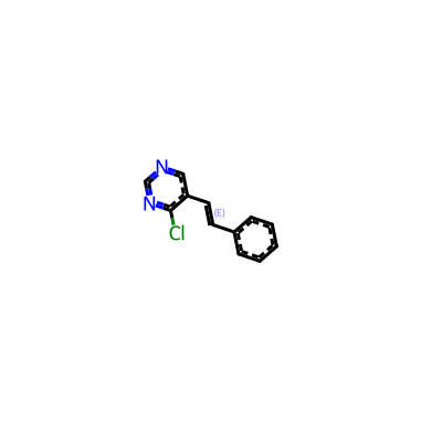 Clc1ncncc1/C=C/c1ccccc1